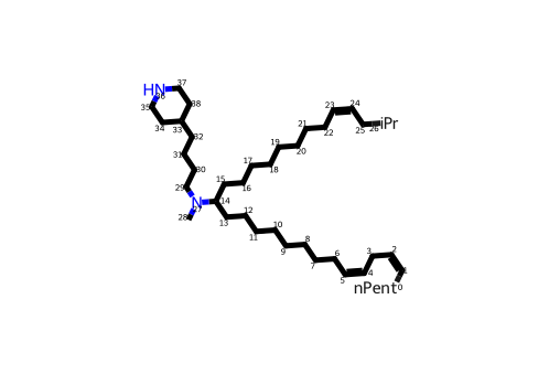 CCCCC/C=C\C/C=C\CCCCCCCCC(CCCCCCCC/C=C\CC(C)C)N(C)CCCCC1CCNCC1